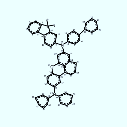 CC1(C)c2ccccc2-c2ccc(N(c3ccc(-c4ccccc4)cc3)c3cc4c5c(cccc5c3)-c3cc(N(c5ccccc5)c5ccccc5)ccc3O4)cc21